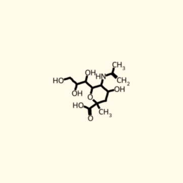 C=C(C)NC1C(O)CC(C)(C(=O)O)OC1C(O)C(O)CO